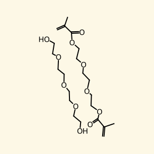 C=C(C)C(=O)OCCOCCOCCOC(=O)C(=C)C.OCCOCCOCCOCCO